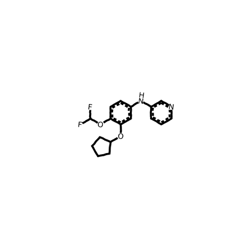 FC(F)Oc1ccc(Nc2cccnc2)cc1OC1CCCC1